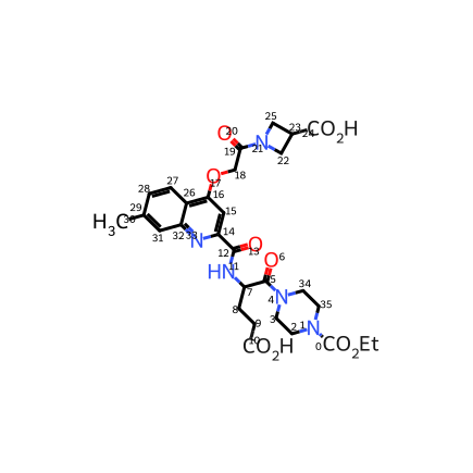 CCOC(=O)N1CCN(C(=O)C(CCC(=O)O)NC(=O)c2cc(OCC(=O)N3CC(C(=O)O)C3)c3ccc(C)cc3n2)CC1